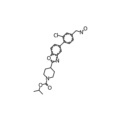 CC(C)OC(=O)N1CCC(c2nc3cc(-c4ccc(CN=O)cc4Cl)ccc3o2)CC1